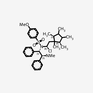 CN[C@@H](c1ccccc1)[C@H](c1ccccc1)N([C@H](Cl)CC1(C)[C@H](C)C(C)C(C)[C@@H]1C)S(=O)(=O)c1ccc(OC)cc1